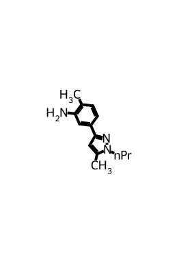 CCCn1nc(-c2ccc(C)c(N)c2)cc1C